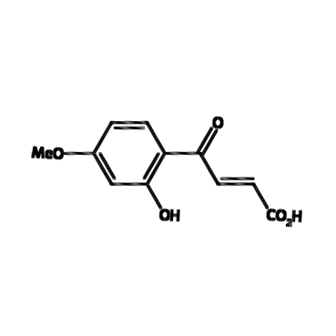 COc1ccc(C(=O)C=CC(=O)O)c(O)c1